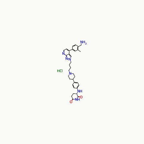 Cc1cc(-c2ccnc3nn(CCCCN4CCC(c5ccc(NC6CCC(=O)NC6=O)cc5)CC4)cc23)ccc1CN.Cl